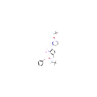 CC(N(Cc1ccc(NC2CCCN(C(=O)OC(C)(C)C)C2)c([N+](=O)[O-])c1)C(=O)OCc1ccccc1)C(C)(C)C